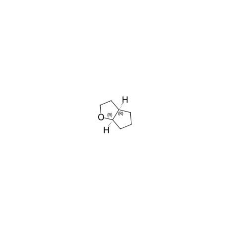 C1C[C@@H]2CCO[C@@H]2C1